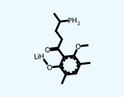 COc1c(C)cc(C)c(OC)c1C(=O)CCC(C)P.[LiH]